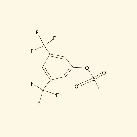 CS(=O)(=O)Oc1cc(C(F)(F)F)cc(C(F)(F)F)c1